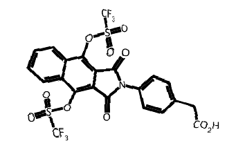 O=C(O)Cc1ccc(N2C(=O)c3c(c(OS(=O)(=O)C(F)(F)F)c4ccccc4c3OS(=O)(=O)C(F)(F)F)C2=O)cc1